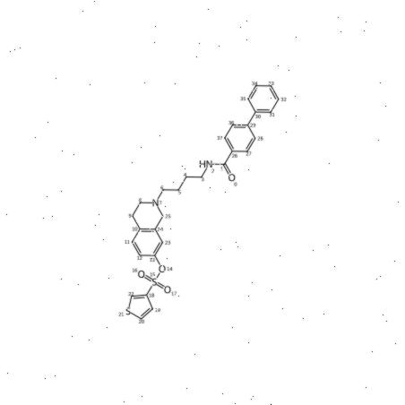 O=C(NCCCCN1CCc2ccc(OS(=O)(=O)c3ccsc3)cc2C1)c1ccc(-c2ccccc2)cc1